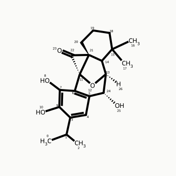 CC(C)c1cc2c(c(O)c1O)[C@]13O[C@@H](C4C(C)(C)CCC[C@@]41C3=O)[C@@H]2O